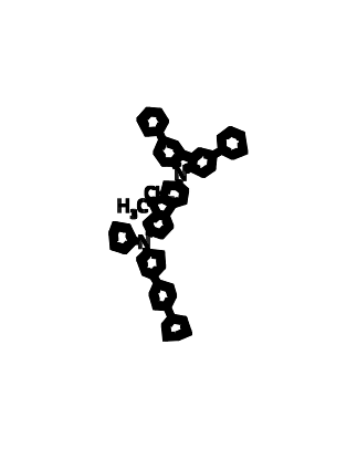 CC1(C)c2cc(N(c3ccccc3)c3ccc(-c4ccc(-c5ccccc5)cc4)cc3)ccc2-c2ccc(-n3c4ccc(-c5ccccc5)cc4c4cc(-c5ccccc5)ccc43)cc21